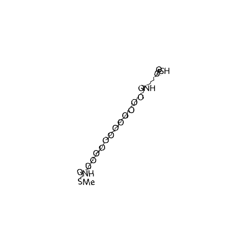 CSCCC(=O)NCCOCCOCCOCCOCCOCCOCCOCCOCCOCCOCCOCCOCCC(=O)NCCCCCCOP(C)(=O)S